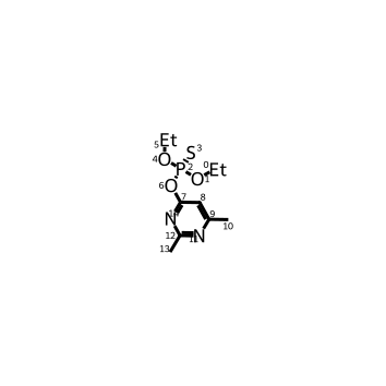 CCOP(=S)(OCC)Oc1cc(C)nc(C)n1